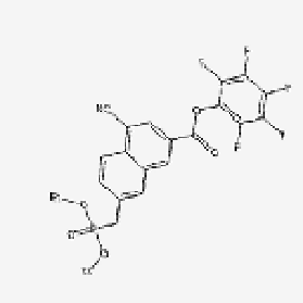 CCOP(=O)(Cc1ccc2c(C#N)cc(C(=O)Oc3c(F)c(F)c(F)c(F)c3F)cc2c1)OCC